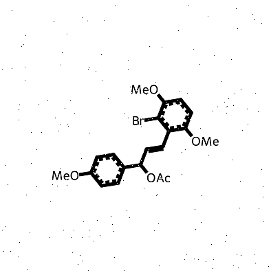 COc1ccc(C(/C=C/c2c(OC)ccc(OC)c2Br)OC(C)=O)cc1